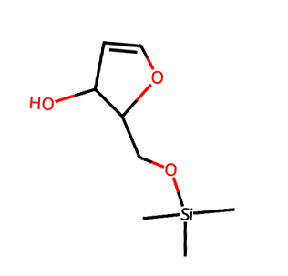 C[Si](C)(C)OCC1OC=CC1O